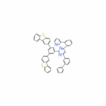 c1ccc(-c2cccc(-c3cc(-c4ccccc4-c4cccnc4)nc(-c4cc(-c5ccc6sc7ccccc7c6c5)cc(-c5ccc6sc7ccccc7c6c5)c4)n3)c2)cc1